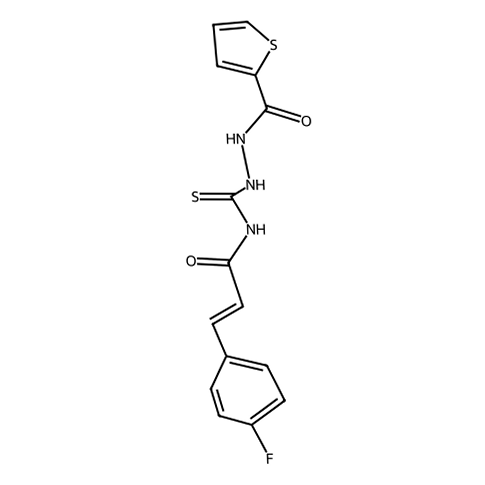 O=C(C=Cc1ccc(F)cc1)NC(=S)NNC(=O)c1cccs1